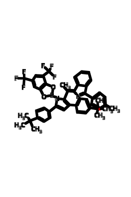 C/C(=C1/N=C(c2ccc(C)cc2)c2ccccc21)c1c(-c2ccc(C(C)(C)C)cc2)cc(-c2ccc(C(C)(C)C)cc2)n1B1Oc2cc(C(F)(F)F)cc(C(F)(F)F)c2O1